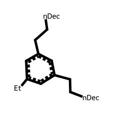 CCCCCCCCCCCCc1cc(CC)cc(CCCCCCCCCCCC)c1